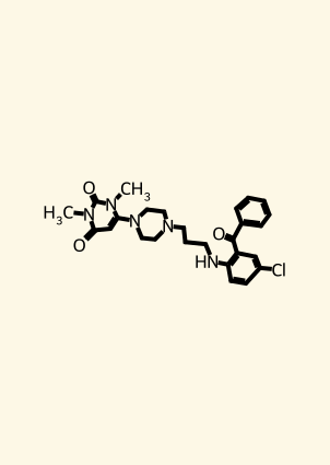 Cn1c(N2CCN(CCCNc3ccc(Cl)cc3C(=O)c3ccccc3)CC2)cc(=O)n(C)c1=O